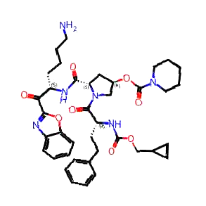 NCCCC[C@H](NC(=O)[C@@H]1C[C@@H](OC(=O)N2CCCCC2)CN1C(=O)[C@@H](CCc1ccccc1)NC(=O)OCC1CC1)C(=O)c1nc2ccccc2o1